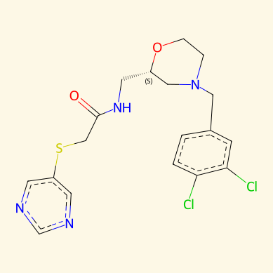 O=C(CSc1cncnc1)NC[C@H]1CN(Cc2ccc(Cl)c(Cl)c2)CCO1